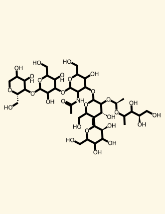 CC(=O)NC1C(OC2C(O)C(CO)OC(OC3C(O)C(O)CO[C@H]3CO)C2O)OC(CO)C(O)C1OC1OC(CO)/C(=C2\OC(CO)C(O)C(O)[C@@H]2O)[C@@H](O)C1O[C@@H](C)OC(C)C(O)[C@H](O)CO